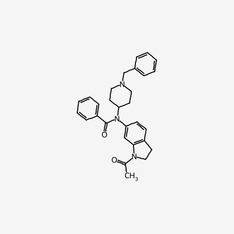 CC(=O)N1CCc2ccc(N(C(=O)c3ccccc3)C3CCN(Cc4ccccc4)CC3)cc21